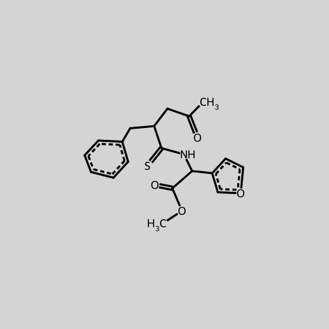 COC(=O)C(NC(=S)C(CC(C)=O)Cc1ccccc1)c1ccoc1